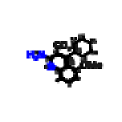 COc1cccc2nc(N)c(C(=O)O)c(C3CCCCC3)c12